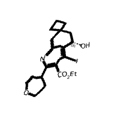 CCOC(=O)c1c(C2CCOCC2)nc2c(c1I)[C@@H](O)CC1(CCC1)C2